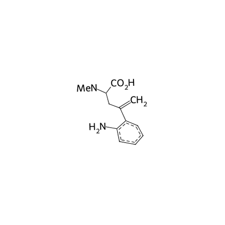 C=C(CC(NC)C(=O)O)c1ccccc1N